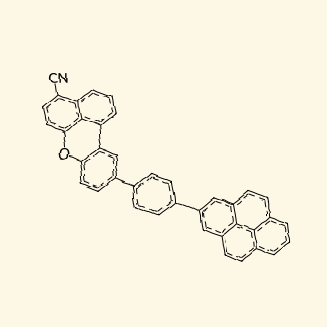 N#Cc1ccc2c3c(cccc13)-c1cc(-c3ccc(-c4cc5ccc6cccc7ccc(c4)c5c67)cc3)ccc1O2